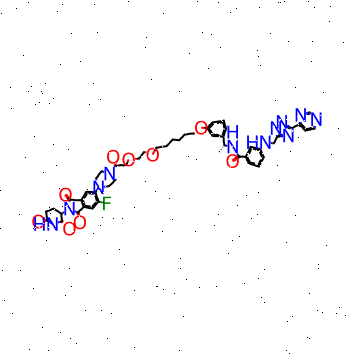 C[C@@H](NC(=O)c1cccc(NCc2nnc(-c3ccncn3)n2C)c1)c1cccc(OCCCCCCOCCOCC(=O)N2CCN(c3cc4c(cc3F)C(=O)N(C3CCC(=O)NC3=O)C4=O)CC2)c1